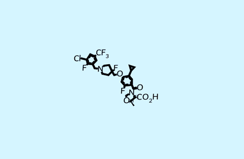 C[C@H]1OCN(C(=O)c2cc(C3CC3)c(OCC3(F)CCN(Cc4cc(C(F)(F)F)cc(Cl)c4F)CC3)cc2F)[C@@H]1C(=O)O